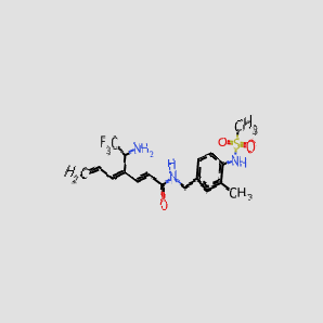 C=C/C=C(/C=C/C(=O)NCc1ccc(NS(C)(=O)=O)c(C)c1)C(N)C(F)(F)F